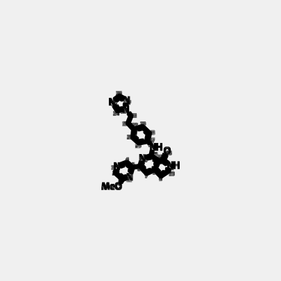 COc1cncc(-c2cc3cc[nH]c(=O)c3c(Nc3ccc(CCn4cncn4)cc3)n2)n1